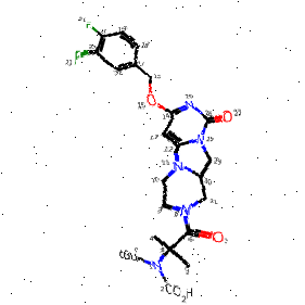 CC(C)(C)N(C(=O)O)C(C)(C)C(=O)N1CCN2c3cc(OCc4ccc(F)c(F)c4)nc(=O)n3CC2C1